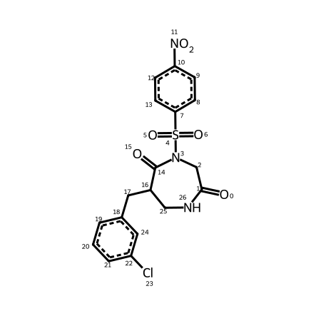 O=C1CN(S(=O)(=O)c2ccc([N+](=O)[O-])cc2)C(=O)C(Cc2cccc(Cl)c2)CN1